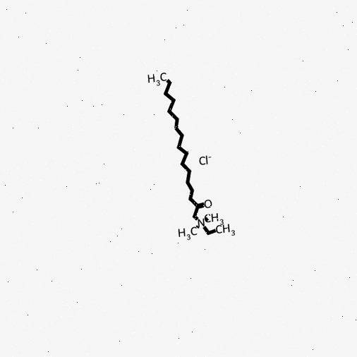 CCCCCCCCCCCCCCCC(=O)C[N+](C)(C)CC.[Cl-]